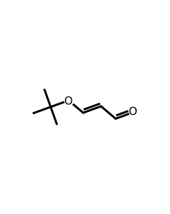 CC(C)(C)OC=CC=O